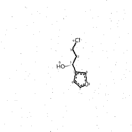 O[C@H](CCCl)c1ccoc1